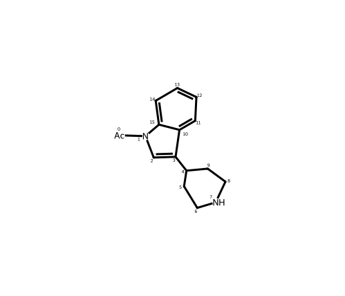 CC(=O)n1cc(C2CCNCC2)c2ccccc21